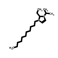 CCCCCCCCCCCN1C=CN(C(C)C)C1CC